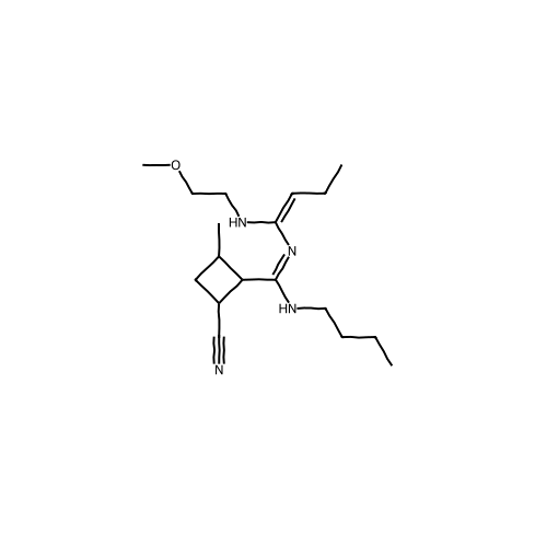 CC/C=C(\N=C(\NCCCC)C1C(C)CC1C#N)NCCOC